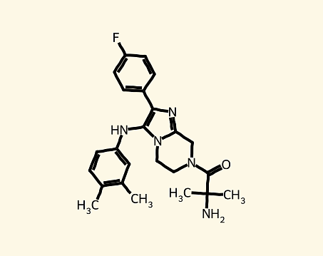 Cc1ccc(Nc2c(-c3ccc(F)cc3)nc3n2CCN(C(=O)C(C)(C)N)C3)cc1C